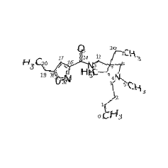 CCCCN(C)CC(CC)(CC)CNC(=O)c1cc(CC)on1